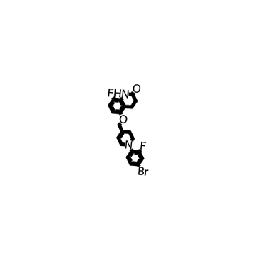 O=C1CCc2c(OCC3=CCN(c4ccc(Br)cc4F)CC3)ccc(F)c2N1